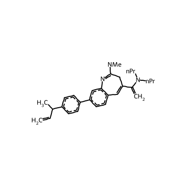 C=CC(C)c1ccc(-c2ccc3c(c2)N=C(NC)CC(C(=C)N(CCC)CCC)=C3)cc1